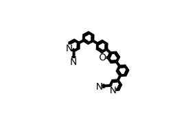 N#Cc1cc(-c2cccc(-c3ccc4c(c3)oc3cc(-c5cccc(-c6ccnc(C#N)c6)c5)ccc34)c2)ccn1